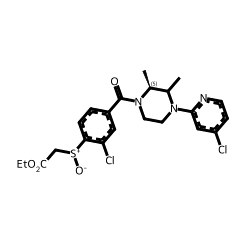 CCOC(=O)C[S+]([O-])c1ccc(C(=O)N2CCN(c3cc(Cl)ccn3)C(C)[C@@H]2C)cc1Cl